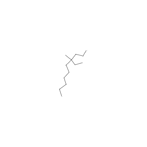 [CH2]CCCCCC(C)(CC)CC[CH2]